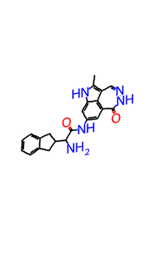 Cc1[nH]c2cc(NC(=O)C(N)C3Cc4ccccc4C3)cc3c2c1C=NNC3=O